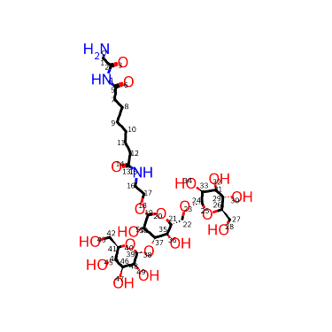 NCC(=O)NC(=O)CCCCCCC(=O)NCCO[C@H]1O[C@H](CO[C@H]2O[C@H](CO)[C@@H](O)[C@H](O)[C@@H]2O)[C@@H](O)[C@H](O[C@H]2O[C@H](CO)[C@@H](O)[C@H](O)[C@@H]2O)[C@@H]1O